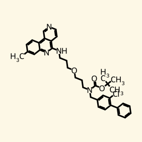 Cc1ccc2c(c1)nc(NCCCOCCCN(Cc1ccc(-c3ccccc3)c(Cl)c1)C(=O)OC(C)(C)C)c1ccncc12